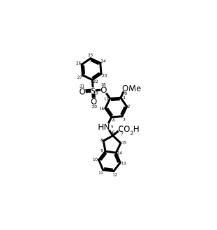 COc1ccc(NC2(C(=O)O)Cc3ccccc3C2)cc1OS(=O)(=O)c1ccccc1